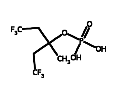 CC(CC(F)(F)F)(CC(F)(F)F)OP(=O)(O)O